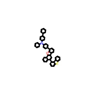 c1ccc(-c2ccc(N(c3ccccc3)c3ccc(-c4cccc5c4oc4c6ccccc6c(-c6cccc7sc8ccccc8c67)cc54)cc3)cc2)cc1